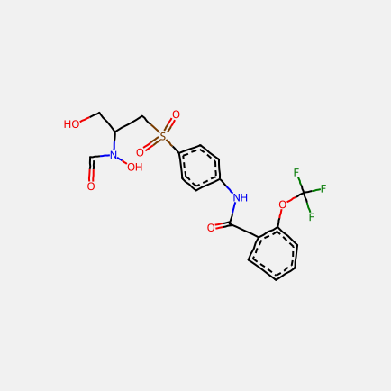 O=CN(O)C(CO)CS(=O)(=O)c1ccc(NC(=O)c2ccccc2OC(F)(F)F)cc1